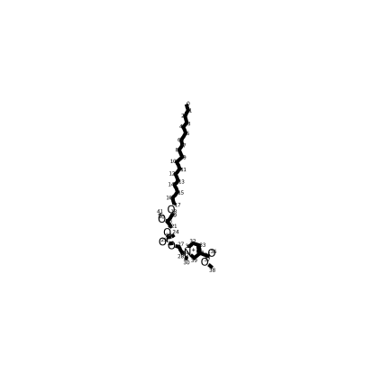 CCCCCCCCCCCCCCCCCCOCC(COP(C)(=O)OCC[N+]1(C)CCC=C(C(=O)OC)C1)OC